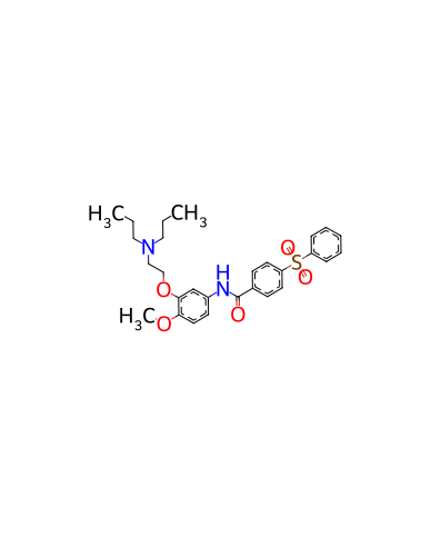 CCCN(CCC)CCOc1cc(NC(=O)c2ccc(S(=O)(=O)c3ccccc3)cc2)ccc1OC